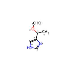 CC(O[C]=O)c1c[nH]cn1